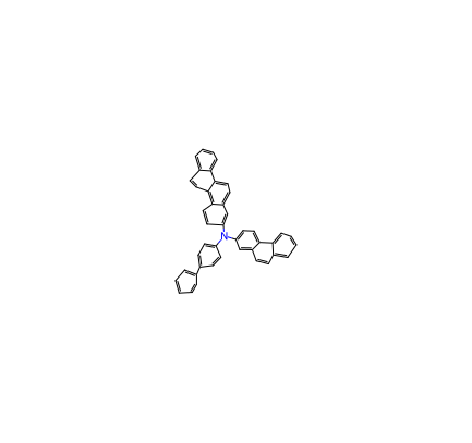 c1ccc(-c2ccc(N(c3ccc4c(ccc5ccccc54)c3)c3ccc4c(ccc5c6ccccc6ccc45)c3)cc2)cc1